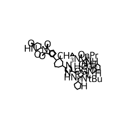 CCC[C@@H](NC(=O)[C@@H]1[C@H]2CCC[C@H]2CN1C(=O)[C@@H](NC(=O)[C@@H](NC(=O)c1cnc(C2CCCC(c3ccc4c(c3)C(=O)N(C3CCC(=O)NC3=O)C4=O)C(C)C2)cn1)C1CCCCC1)C(C)(C)C)C(O)C(=O)NC1CC1